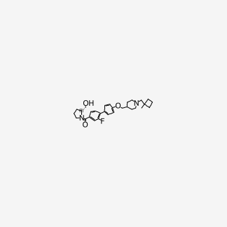 CC1(CN2CCC(COc3ccc(-c4ccc(C(=O)N5CCC[C@@H]5CO)cc4F)cc3)CC2)CCC1